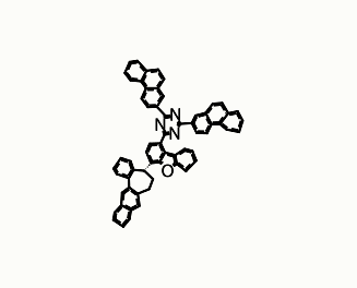 c1ccc2c(c1)-c1cc3ccccc3cc1CC[C@H]2c1ccc(-c2nc(-c3ccc4c(ccc5ccccc54)c3)nc(-c3ccc4c(ccc5ccccc54)c3)n2)c2c1oc1ccccc12